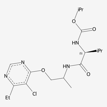 CCc1ncnc(OCC(C)NC(=O)[C@@H](NC(=O)OC(C)C)C(C)C)c1Cl